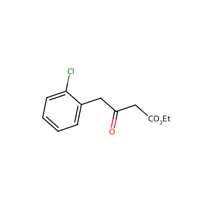 CCOC(=O)CC(=O)Cc1ccccc1Cl